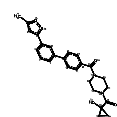 Cc1cc(-c2cccc(-c3ccc(C(=O)N4CCN(C(=O)C5(O)CC5)CC4)cc3)c2)no1